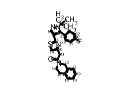 CC(C)(C)n1ncc(-c2nc(CC(=O)N3CCc4ccccc4C3)cs2)c1-c1ccc(F)cc1